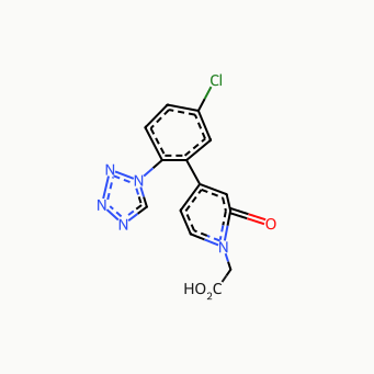 O=C(O)Cn1ccc(-c2cc(Cl)ccc2-n2cnnn2)cc1=O